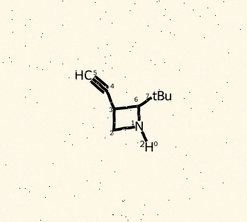 [2H]N1CC(C#C)C1C(C)(C)C